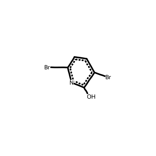 Oc1nc(Br)ccc1Br